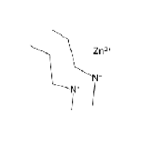 CCC[N-]C.CCC[N-]C.[Zn+2]